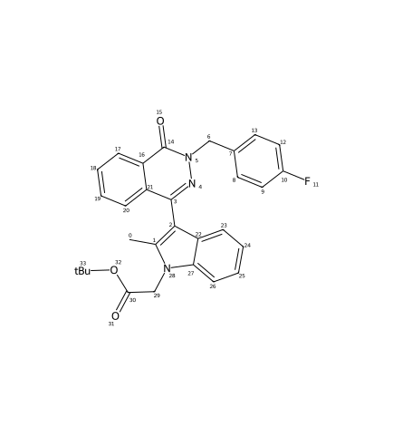 Cc1c(-c2nn(Cc3ccc(F)cc3)c(=O)c3ccccc23)c2ccccc2n1CC(=O)OC(C)(C)C